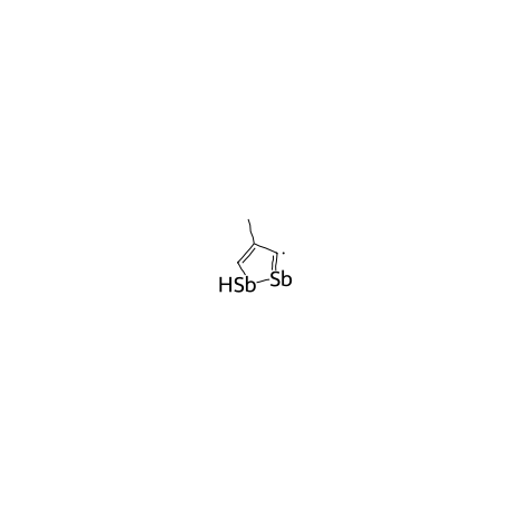 CC1=[CH][SbH][Sb]=[C]1